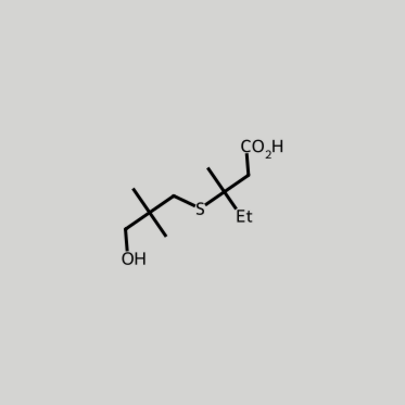 CCC(C)(CC(=O)O)SCC(C)(C)CO